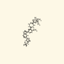 Cc1ccc(-n2ncc3cnc(-c4cnn(CC(F)(F)F)c4)cc32)nc1N1CCCN(C(=O)OC(C)(C)C)CC1